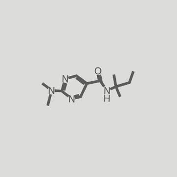 CCC(C)(C)NC(=O)c1cnc(N(C)C)nc1